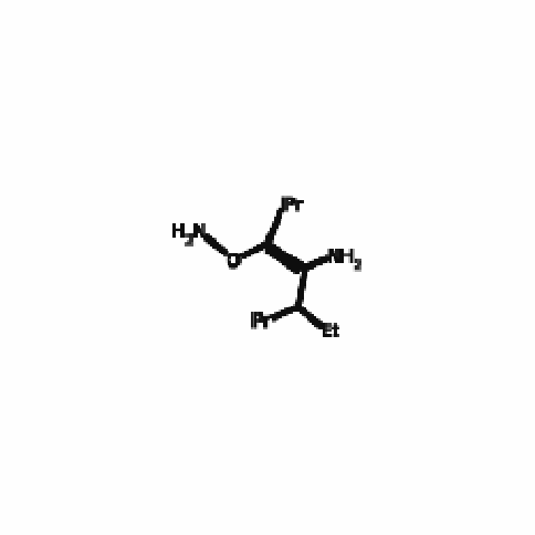 CCC(/C(N)=C(\ON)C(C)C)C(C)C